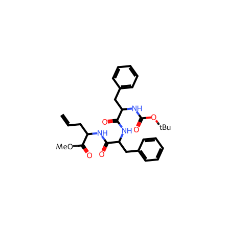 C=CCC(NC(=O)C(Cc1ccccc1)NC(=O)C(Cc1ccccc1)NC(=O)OC(C)(C)C)C(=O)OC